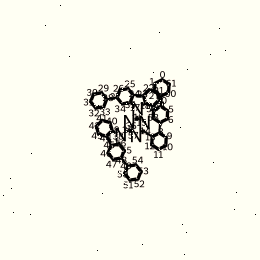 c1ccc(-c2ccc(-c3ccccc3-c3nc(-n4c5ccccc5c5ccc(-c6ccccc6)cc54)nc(-n4c5ccccc5c5ccc(-c6ccccc6)cc54)n3)cc2)cc1